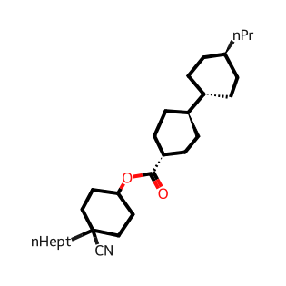 CCCCCCCC1(C#N)CCC(OC(=O)[C@H]2CC[C@H]([C@H]3CC[C@H](CCC)CC3)CC2)CC1